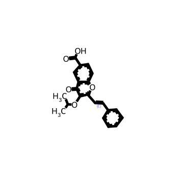 CC(C)Oc1c(/C=C/c2ccccc2)oc2ccc(C(=O)O)cc2c1=O